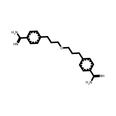 N=C(N)c1ccc(CCCOCCCc2ccc(C(=N)N)cc2)cc1